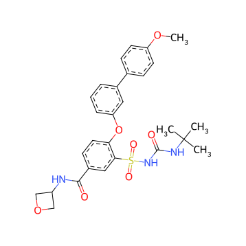 COc1ccc(-c2cccc(Oc3ccc(C(=O)NC4COC4)cc3S(=O)(=O)NC(=O)NC(C)(C)C)c2)cc1